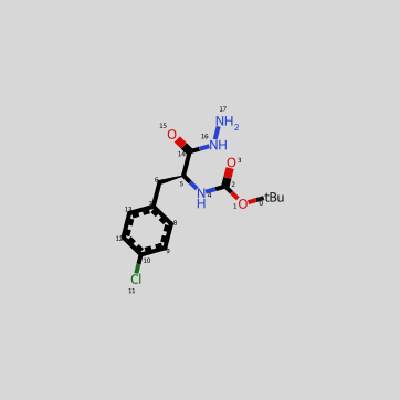 CC(C)(C)OC(=O)N[C@@H](Cc1ccc(Cl)cc1)C(=O)NN